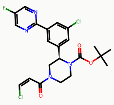 CC(C)(C)OC(=O)N1CCN(C(=O)/C=C\Cl)C[C@H]1c1cc(Cl)cc(-c2ncc(F)cn2)c1